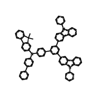 CC1(C)c2ccccc2-c2ccc(N(c3ccc(-c4ccccc4)cc3)c3ccc(-c4cc(-c5ccc6c(c5)c5ccccc5n6-c5ccccc5)cc(-c5ccc6c(c5)c5ccccc5n6-c5ccccc5)c4)cc3)cc21